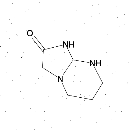 O=C1CN2CCCNC2N1